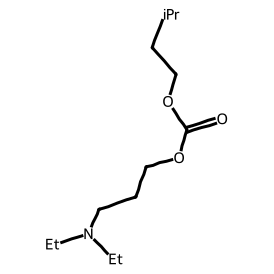 CCN(CC)CCCOC(=O)OCCC(C)C